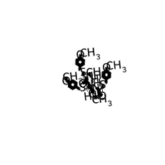 CNC(=O)[C@H](CSCc1ccc(OC)cc1)NC(=O)[C@H](CSCc1ccc(OC)cc1)NC(=O)[C@H](CSCc1ccc(OC)cc1)NC